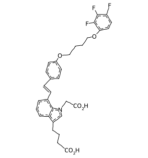 O=C(O)CCCc1cn(CC(=O)O)c2c(C=Cc3ccc(OCCCCOc4ccc(F)c(F)c4F)cc3)cccc12